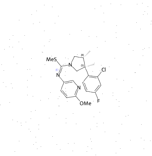 COc1ccc(/N=C(/SC)N2C[C@H](C)[C@@](C)(c3ccc(F)cc3Cl)C2)cn1